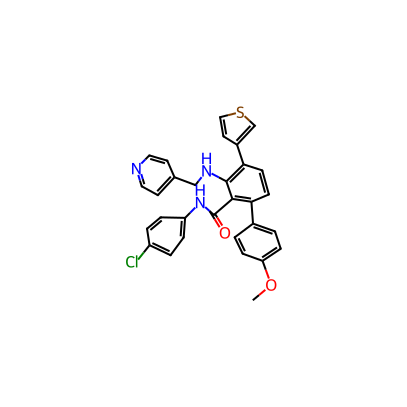 COc1ccc(-c2ccc(-c3ccsc3)c(NCc3ccncc3)c2C(=O)Nc2ccc(Cl)cc2)cc1